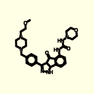 COCCN1CCN(Cc2ccc(C3=NNC4c5cccc(NC(=O)NN6CCOCC6)c5C(=O)C34)cc2)CC1